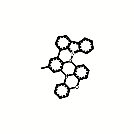 Cc1cc2c3c(c1)N1c4ccccc4Oc4cccc(c41)B3n1c3ccccc3c3cccc-2c31